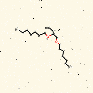 CC(C)CCCCCCOCC(CC(C)(C)C)OCCCCCCC(C)C